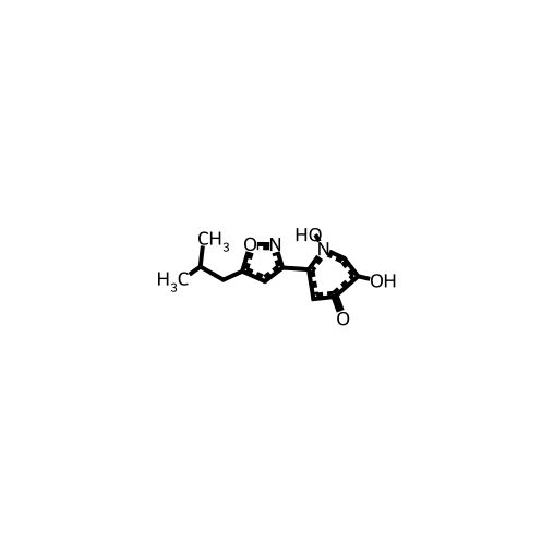 CC(C)Cc1cc(-c2cc(=O)c(O)cn2O)no1